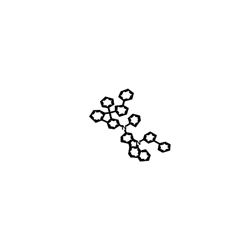 c1ccc(-c2cccc(-n3c4cc(N(c5ccccc5)c5ccc6c(c5)C(c5ccccc5)(c5cccc(-c7ccccc7)c5)c5ccccc5-6)ccc4c4ccc5ccccc5c43)c2)cc1